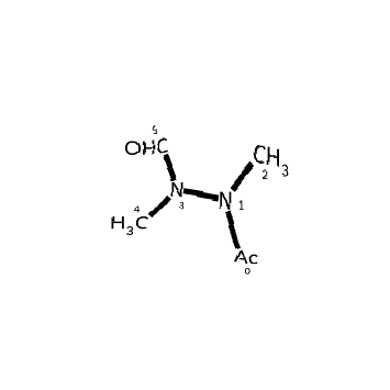 CC(=O)N(C)N(C)C=O